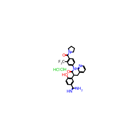 Cl.Cl.N=C(N)c1ccc(O)c(C(Cc2cccnc2)C(=O)Nc2ccc(C(=O)N3CCCC3)c(C(F)(F)F)c2)c1